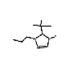 CCCN1N=CN(F)C1C(C)(C)C